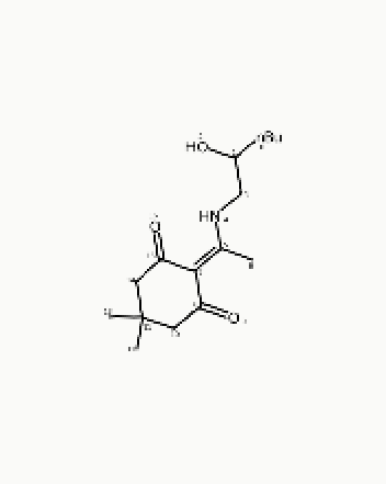 CCCCC(O)CNC(C)=C1C(=O)CC(C)(C)CC1=O